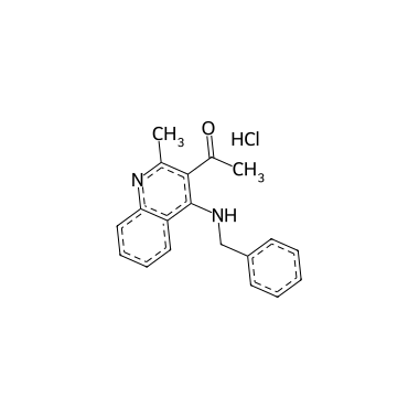 CC(=O)c1c(C)nc2ccccc2c1NCc1ccccc1.Cl